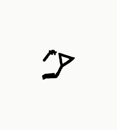 C=CC1CC1.CCCC